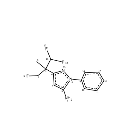 CC(CF)(c1cc(N)n(-c2ccccc2)n1)C(F)F